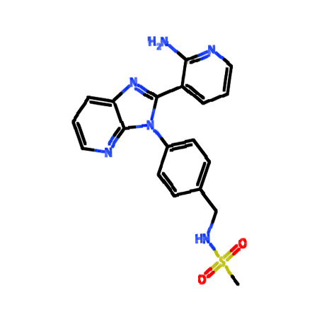 CS(=O)(=O)NCc1ccc(-n2c(-c3cccnc3N)nc3cccnc32)cc1